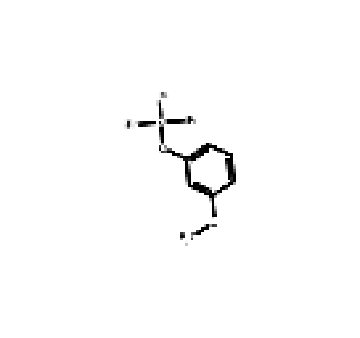 CC(C)[Si](Oc1cccc(OC(F)(F)F)c1)(C(C)C)C(C)C